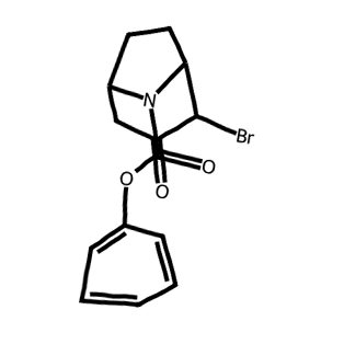 O=C1CC2CCC(C1Br)N2C(=O)Oc1ccccc1